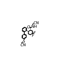 N#CCNC(=O)[C@@H]1CC(F)(F)CC[C@H]1c1ccccc1-c1ccc(SCC#N)cc1